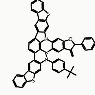 C=C1c2cc3c(cc2OC1c1ccccc1)-n1c2cc4sc5ccccc5c4cc2c2ccc4c(c21)B3N(c1ccc(C(C)(C)C)cc1)c1cc2sc3ccccc3c2cc1-4